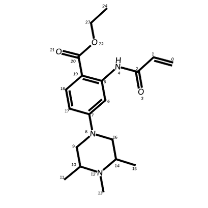 C=CC(=O)Nc1cc(N2CC(C)N(C)C(C)C2)ccc1C(=O)OCC